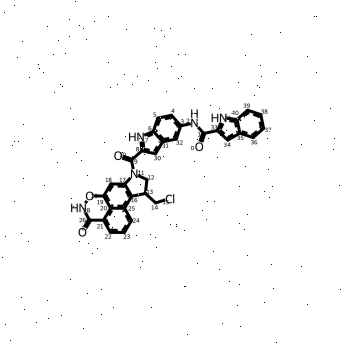 O=C(Nc1ccc2[nH]c(C(=O)N3CC(CCl)c4c3cc3c5c(cccc45)C(=O)NO3)cc2c1)c1cc2ccccc2[nH]1